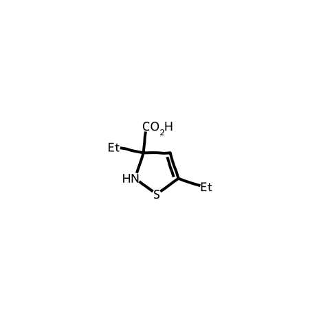 CCC1=CC(CC)(C(=O)O)NS1